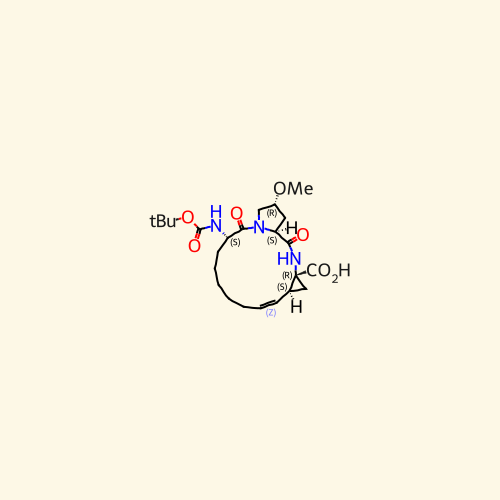 CO[C@@H]1C[C@H]2C(=O)N[C@]3(C(=O)O)C[C@H]3/C=C\CCCCC[C@H](NC(=O)OC(C)(C)C)C(=O)N2C1